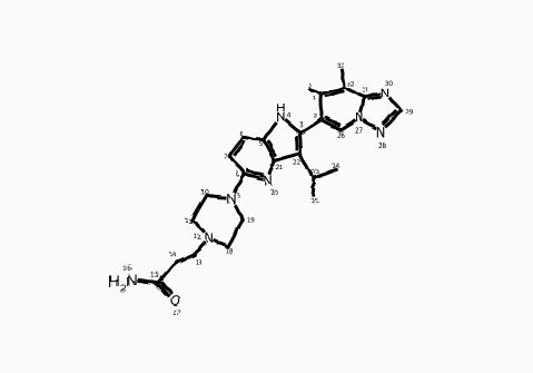 Cc1c(-c2[nH]c3ccc(N4CCN(CCC(N)=O)CC4)nc3c2C(C)C)cn2ncnc2c1C